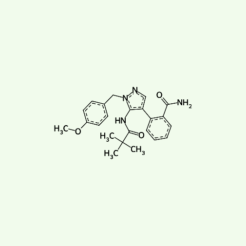 COc1ccc(Cn2ncc(-c3ccccc3C(N)=O)c2NC(=O)C(C)(C)C)cc1